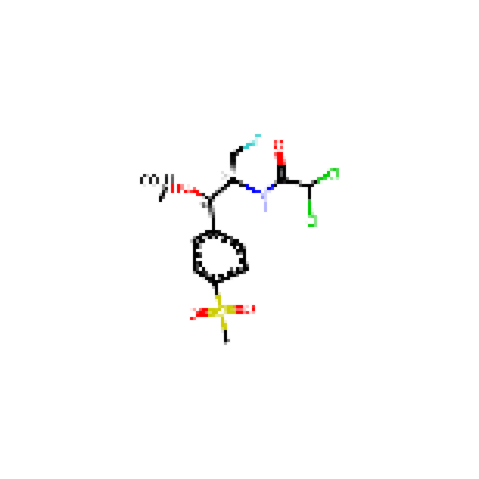 CC(=O)O.CS(=O)(=O)c1ccc([C@@H](O)[C@@H](CF)NC(=O)C(Cl)Cl)cc1